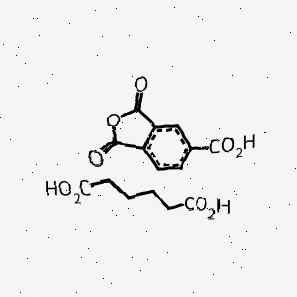 O=C(O)CCCCC(=O)O.O=C(O)c1ccc2c(c1)C(=O)OC2=O